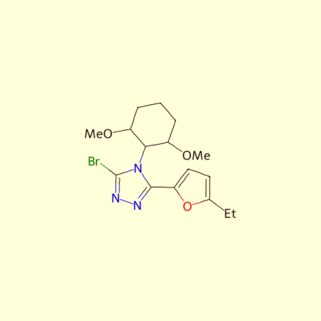 CCc1ccc(-c2nnc(Br)n2C2C(OC)CCCC2OC)o1